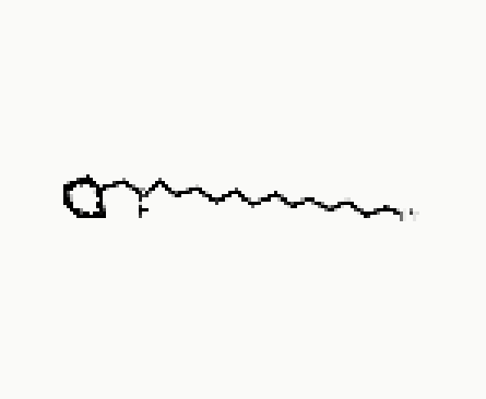 CC(C)CCCCCCCCCCCCCPCc1ccccc1